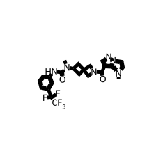 CN(C(=O)Nc1cccc(C(F)(F)C(F)(F)F)c1)C1CC2(C1)CN(C(=O)c1cnn3ccn(C)c13)C2